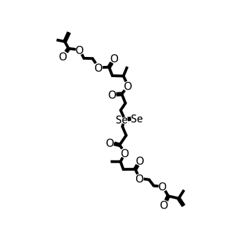 C=C(C)C(=O)OCCOC(=O)CC(C)OC(=O)CC[Se](=[Se])CCC(=O)OC(C)CC(=O)OCCOC(=O)C(=C)C